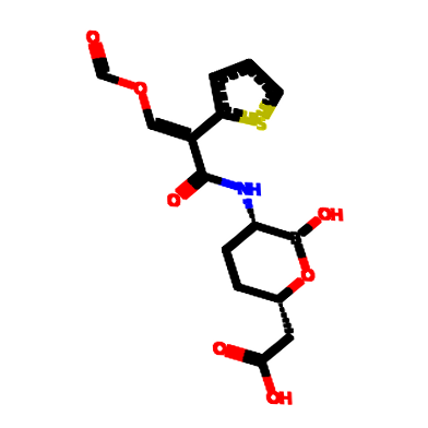 O=CO/C=C(/C(=O)N[C@H]1CC[C@@H](CC(=O)O)OB1O)c1cccs1